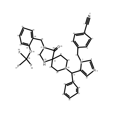 N#Cc1ccc(Cn2cncc2C(c2ccccc2)N2CCC3(CC2)NCN(Cc2ccccc2OC(F)(F)F)C3=O)cc1